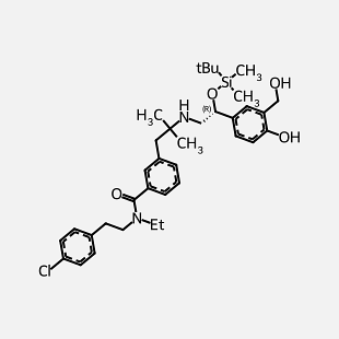 CCN(CCc1ccc(Cl)cc1)C(=O)c1cccc(CC(C)(C)NC[C@H](O[Si](C)(C)C(C)(C)C)c2ccc(O)c(CO)c2)c1